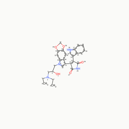 CCN(CC)CC(O)Cn1cc(C2=C(c3c[nH]c4ccccc34)C(=O)NC2=O)c2cc3c(cc21)OCO3